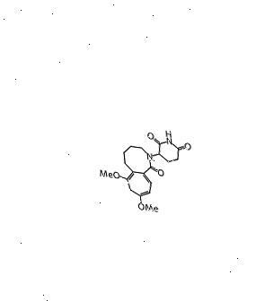 COC1=CC=C2C(=O)N(C3CCC(=O)NC3=O)CCCCC2=C(OC)C1